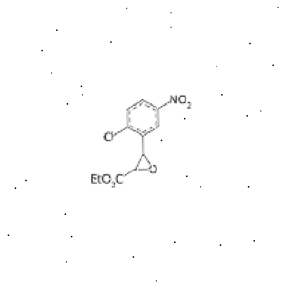 CCOC(=O)C1OC1c1cc([N+](=O)[O-])ccc1Cl